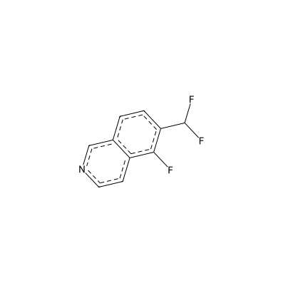 Fc1c(C(F)F)ccc2cnccc12